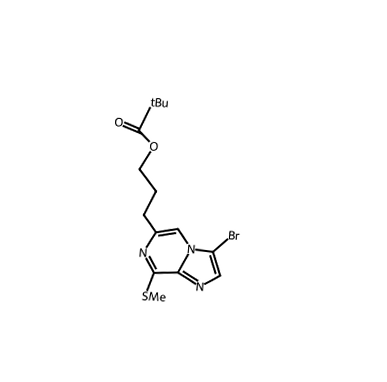 CSc1nc(CCCOC(=O)C(C)(C)C)cn2c(Br)cnc12